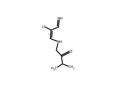 CC(C)C(=O)CN/C=C(/Cl)C=N